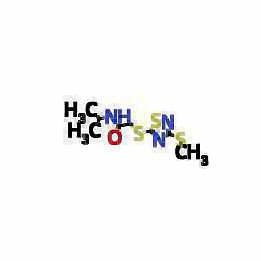 CSc1nsc(SCC(=O)NC(C)C)n1